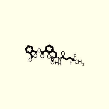 CC(F)(F)CCC(=O)N[C@H]1Cc2cccc(C(=O)OC3OC(=O)c4ccccc43)c2OB1O